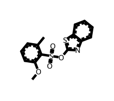 COc1cccc(C)c1S(=O)(=O)Oc1nc2ccccc2s1